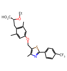 CCO[C@@H](Cc1c(C)cc(OCc2sc(-c3ccc(C(F)(F)F)cc3)nc2C)cc1C)C(=O)O